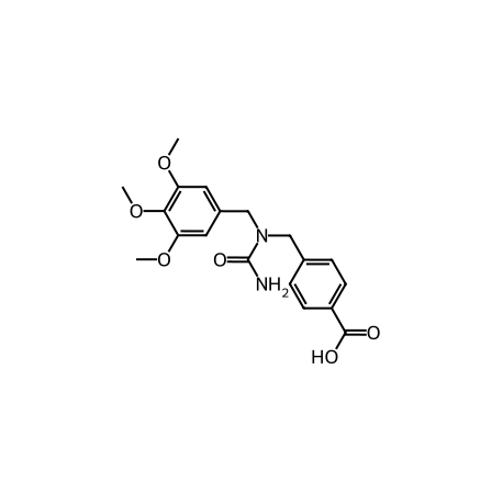 COc1cc(CN(Cc2ccc(C(=O)O)cc2)C(N)=O)cc(OC)c1OC